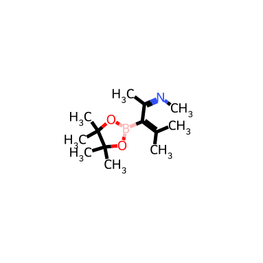 C/N=C(/C)C(B1OC(C)(C)C(C)(C)O1)=C(C)C